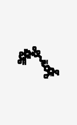 COc1cc2c(c(Cl)n1)CC(CNCCC1CN(c3cnc4c(n3)NC(=O)CO4)C(=O)O1)C2